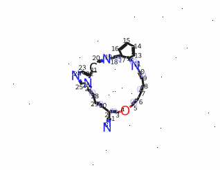 N#CC1=C/O\C=C/C=C\C=C/N=c2/cccc/c2=C/N=CCc2cncn2/C=C/C=C\1